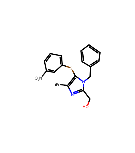 CC(C)c1nc(CO)n(Cc2ccccc2)c1Sc1cccc([N+](=O)[O-])c1